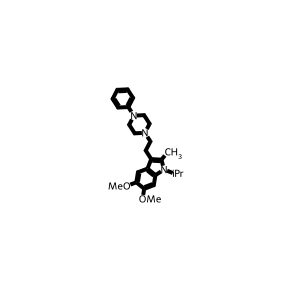 COc1cc2c(CCN3CCN(c4ccccc4)CC3)c(C)n(C(C)C)c2cc1OC